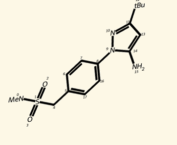 CNS(=O)(=O)Cc1ccc(-n2nc(C(C)(C)C)cc2N)cc1